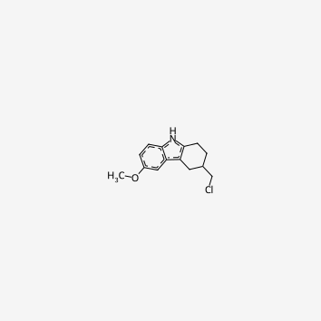 COc1ccc2[nH]c3c(c2c1)CC(CCl)CC3